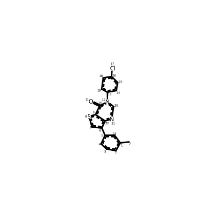 Cc1cccc(-c2csc3c(=O)n(-c4ccc(Cl)cc4)cnc23)c1